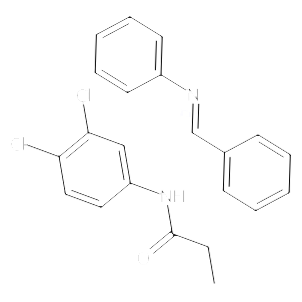 C(=N\c1ccccc1)/c1ccccc1.CCC(=O)Nc1ccc(Cl)c(Cl)c1